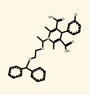 CC1=C(C(=O)O)C(c2cccc(Cl)c2)C(C(=O)O)=C(C)N1C(C)OCCOC(c1ccccc1)c1ccccc1